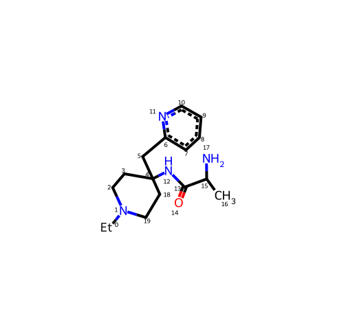 CCN1CCC(Cc2ccccn2)(NC(=O)C(C)N)CC1